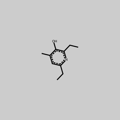 CCc1cc(C)c(O)c(CC)n1